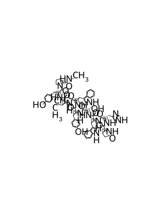 CCNC(=O)[C@@H]1CCCN1C(=O)[C@H](Cc1ccc(O)cc1)NC(=O)[C@H](CC(C)C)NC(=O)[C@@H](Cc1c[nH]c2ccccc12)NC(=O)[C@H](Cc1ccc(O)cc1)NC(=O)[C@H](CO)NC(=O)[C@H](Cc1c[nH]c2ccccc12)NC(=O)[C@H](Cc1c[nH]cn1)NC(=O)[C@@H]1CCC(=O)N1